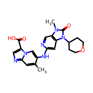 Cc1cc2ncc(C(=O)O)n2cc1Nc1cc2c(cn1)n(C)c(=O)n2C1CCOCC1